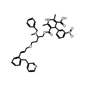 CC1=C(C(=O)O)C(c2cccc([N+](=O)[O-])c2)C(C(=O)OCC(CCOC/C=C/c2ccccc2Cc2cccnc2)N(C)Cc2ccccc2)=C(C)N1